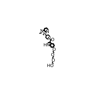 CCN(C)c1cccnc1N(C)C1CCN(C(=O)c2c[nH]c3cc(OCCOCCOCCO)ccc23)CC1